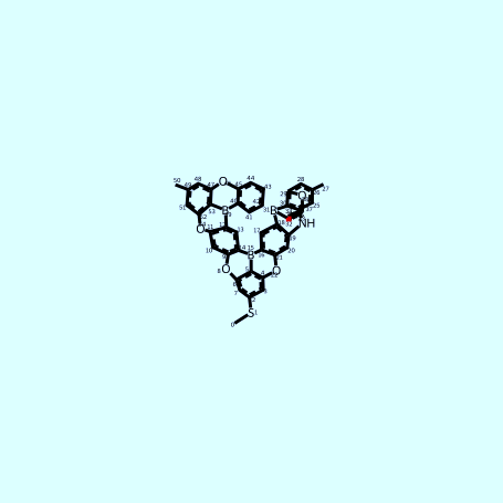 CSc1cc2c3c(c1)Oc1cc4c(cc1B3c1cc3c(cc1O2)Nc1cc(C)cc2c1B3c1ccccc1O2)B1c2ccccc2Oc2cc(C)cc(c21)O4